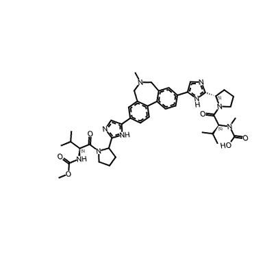 COC(=O)N[C@H](C(=O)N1CCCC1c1ncc(-c2ccc3c(c2)CN(C)Cc2cc(-c4cnc([C@@H]5CCCN5C(=O)[C@H](C(C)C)N(C)C(=O)O)[nH]4)ccc2-3)[nH]1)C(C)C